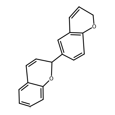 [c]1ccc2c(c1)OC(c1ccc3c(c1)C=CCO3)C=C2